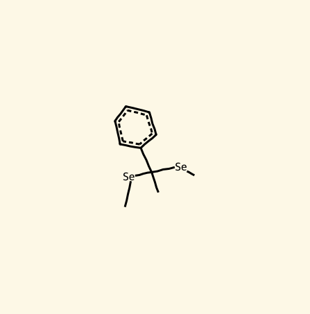 C[Se]C(C)([Se]C)c1ccccc1